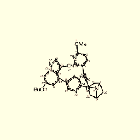 COc1ccc(C#CCN2C3CC2CN(c2ccc(-c4cc(OCC(C)C)cn5ncc(C#N)c45)cn2)C3)cn1